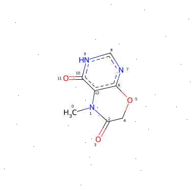 CN1C(=O)COc2nc[nH]c(=O)c21